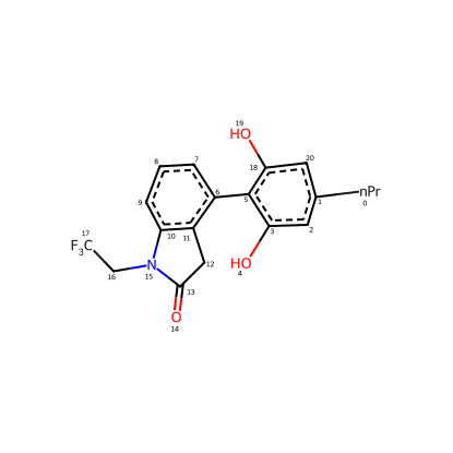 CCCc1cc(O)c(-c2cccc3c2CC(=O)N3CC(F)(F)F)c(O)c1